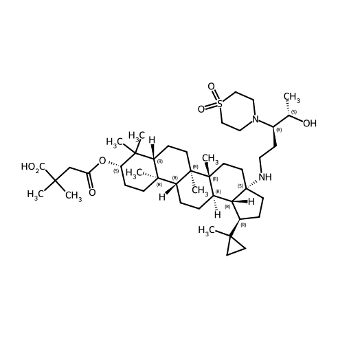 C[C@H](O)[C@@H](CCN[C@]12CC[C@@H](C3(C)CC3)[C@@H]1[C@H]1CC[C@@H]3[C@@]4(C)CC[C@H](OC(=O)CC(C)(C)C(=O)O)C(C)(C)[C@@H]4CC[C@@]3(C)[C@]1(C)CC2)N1CCS(=O)(=O)CC1